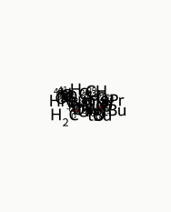 C=C[C@@H]1C[C@]1(NC(=O)[C@@H]1C[C@@]2(CN1C(=O)[C@@H](NC(=O)[C@@H](NS(=O)(=O)C(C)C)C(C)(C)C)C(C)(C)C)C(C)(C)C21CCC1)C(=O)NS(=O)(=O)C1CC1